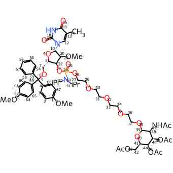 COc1ccc(C(OC[C@@H]2O[C@H](n3cc(C)c(=O)[nH]c3=O)C(OC)C2OP(=O)(OCCOCCOCCOCCO[C@@H]2O[C@H](COC(C)=O)[C@H](OC(C)=O)[C@H](OC(C)=O)[C@@H]2NC(C)=O)N(C(C)C)C(C)C)(c2ccccc2)c2ccc(OC)cc2)cc1